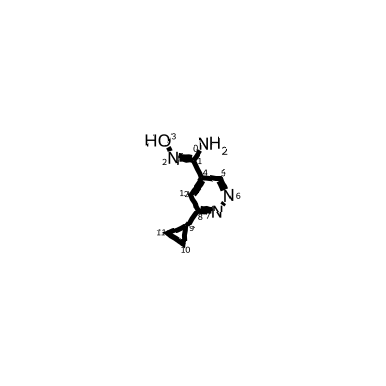 N/C(=N\O)c1cnnc(C2CC2)c1